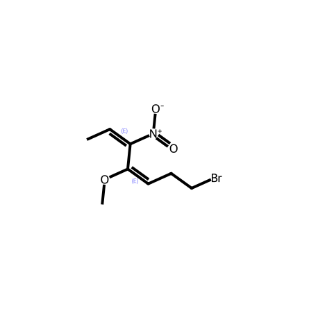 C/C=C(\C(=C/CCBr)OC)[N+](=O)[O-]